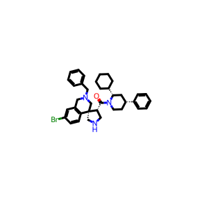 O=C([C@@H]1CNC[C@]12CN(Cc1ccccc1)Cc1cc(Br)ccc12)N1CC[C@@H](c2ccccc2)C[C@H]1C1CCCCC1